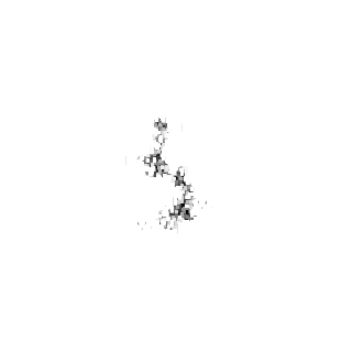 CNC(=O)c1c(F)cccc1Nc1nc(Nc2cc3c(cc2OC)CCN3C(=O)CN(C)C(=O)CCC(=O)NC(C(=O)N2C[C@H](O)C[C@H]2C(=O)NCc2ccc(-c3scnc3C)cc2)C(C)(C)C)nc2[nH]ccc12